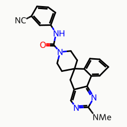 CNc1ncc2c(n1)-c1ccccc1C1(CCN(C(=O)Nc3cccc(C#N)c3)CC1)C2